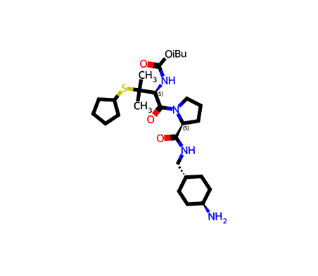 CC(C)COC(=O)N[C@@H](C(=O)N1CCC[C@H]1C(=O)NC[C@H]1CC[C@H](N)CC1)C(C)(C)SC1CCCC1